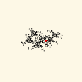 CCC.CCO[Si](CSSC[Si](OCC)(OCC)OCC)(OCC)OCC.CCO[Si](CSSC[Si](OCC)(OCC)OCC)(OCC)OCC.CCO[Si](CSSC[Si](OCC)(OCC)OCC)(OCC)OCC